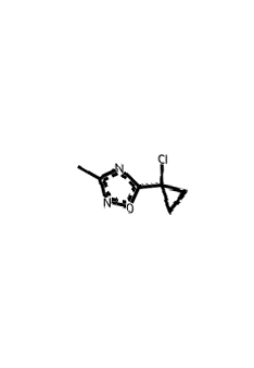 Cc1noc(C2(Cl)CC2)n1